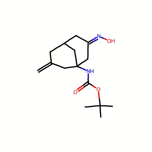 C=C1CC2CC(=NO)CC(NC(=O)OC(C)(C)C)(C1)C2